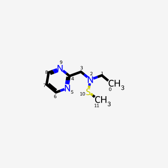 CCN(Cc1ncccn1)SC